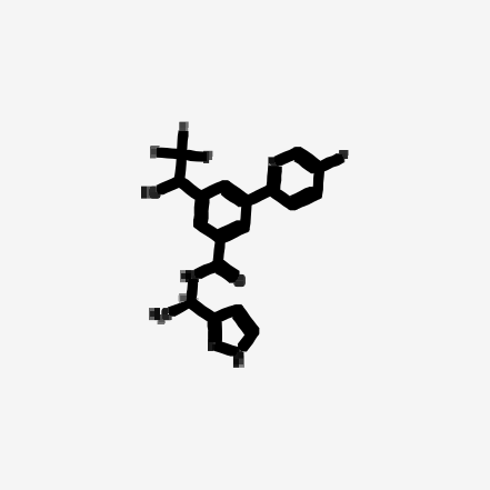 C[C@@H](NC(=O)c1cc(-c2ccc(F)cn2)cc(C(O)C(F)(F)F)c1)c1cc[nH]n1